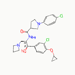 O=C(N[C@H](CN1CCC1)[C@H](O)c1ccc(OC2CC2)c(Cl)c1)C1CCN(c2ccc(Cl)cc2)C1